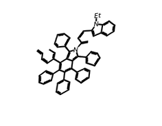 C=C/C=C\C(=C/C)c1c(-c2ccccc2)c(-c2ccccc2)c(-c2ccccc2)c2c(-c3ccccc3)n(C(=C)/C=C\c3cc4ccccc4n3CC)c(-c3ccccc3)c12